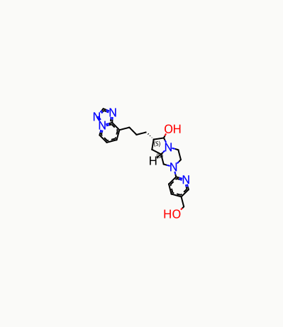 OCc1ccc(N2CCN3C(O)[C@@H](CCCc4cccn5ncnc45)C[C@H]3C2)nc1